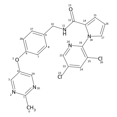 Cc1ncc(Oc2ccc(CNC(=O)c3cccn3-c3ncc(Cl)cc3Cl)cc2)cn1